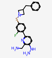 NCc1nc(-c2ccc(SN3CC(Cc4ccccc4)C3)cc2F)ccc1NN